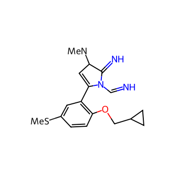 CNC1C=C(c2cc(SC)ccc2OCC2CC2)N(C=N)C1=N